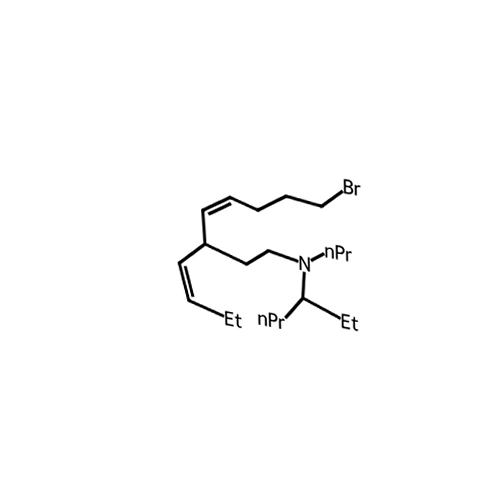 CC/C=C\C(/C=C\CCCBr)CCN(CCC)C(CC)CCC